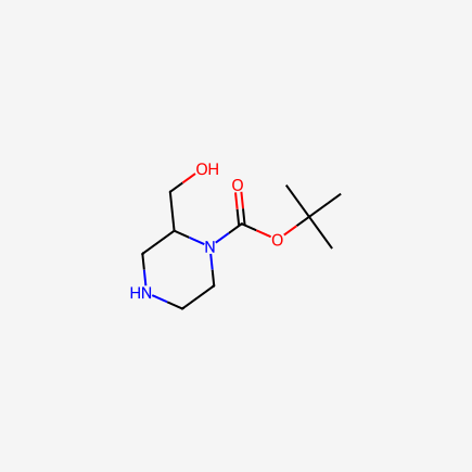 CC(C)(C)OC(=O)N1CCNCC1CO